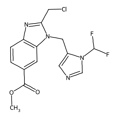 COC(=O)c1ccc2nc(CCl)n(Cc3cncn3C(F)F)c2c1